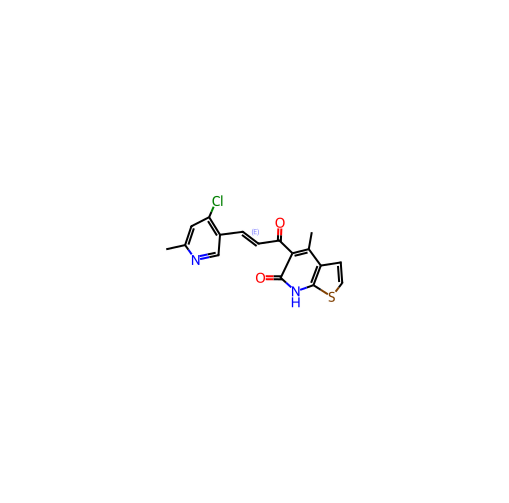 Cc1cc(Cl)c(/C=C/C(=O)c2c(C)c3ccsc3[nH]c2=O)cn1